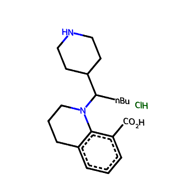 CCCCC(C1CCNCC1)N1CCCc2cccc(C(=O)O)c21.Cl